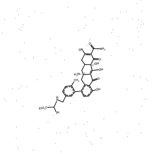 CCOC(=O)C(NCc1ccc(C)c(-c2ccc(O)c3c2C[C@@]2(N)CC4CC(N=O)=C(C(N)=O)C(=O)[C@@]4(O)C(O)=C2C3=O)c1)C(C)C